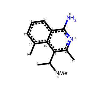 CNC(C)c1c(C)nc(N)c2cccc(C)c12